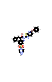 CN1CCN(S(=O)(=O)c2ccc(C(CC3CCCC3)C(=O)Nc3nc4ccc(Oc5ccccc5)nc4s3)cc2)CC1